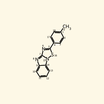 Cc1ccc(-c2nc3nc4ccccc4n3s2)cc1